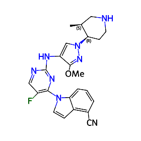 COc1nn([C@@H]2CCNC[C@@H]2C)cc1Nc1ncc(F)c(-n2ccc3c(C#N)cccc32)n1